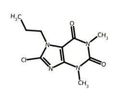 CCCn1c(Cl)nc2c1c(=O)n(C)c(=O)n2C